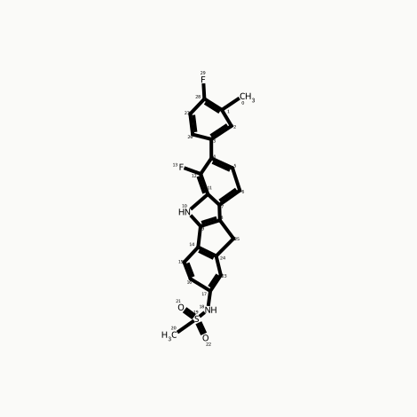 Cc1cc(-c2ccc3c4c([nH]c3c2F)-c2ccc(NS(C)(=O)=O)cc2C4)ccc1F